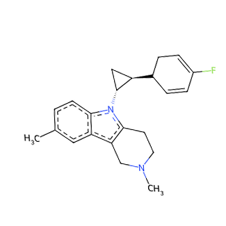 Cc1ccc2c(c1)c1c(n2[C@@H]2C[C@H]2C2C=CC(F)=CC2)CCN(C)C1